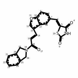 O=C1NC(=O)C(=Cc2ccc3occ(C=CC(=O)N4Cc5ccccc5C4)c3c2)S1